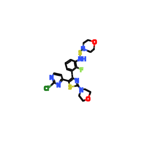 Fc1c(NSN2CCOCC2)cccc1-c1nc(N2CCOCC2)sc1-c1ccnc(Cl)n1